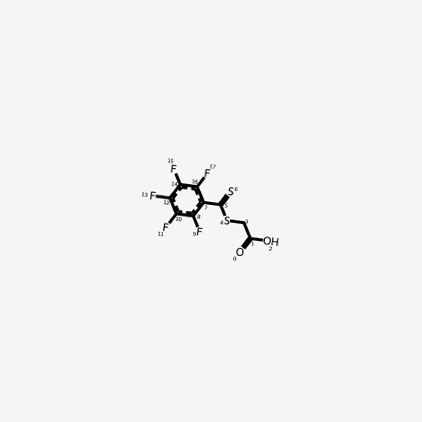 O=C(O)CSC(=S)c1c(F)c(F)c(F)c(F)c1F